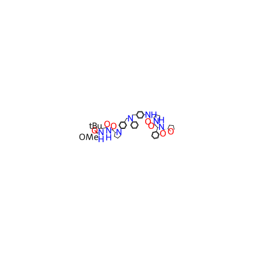 COC(=O)N[C@H](C(=O)NC(=O)[C@@H]1CCCN1c1ccc(CN(Cc2ccc(NC(=O)[C@@H]3CCCN3C(=O)[C@H](NC(=O)[C@@H]3CCCO3)c3ccccc3)cc2)c2ccccc2)cc1)C(C)(C)C